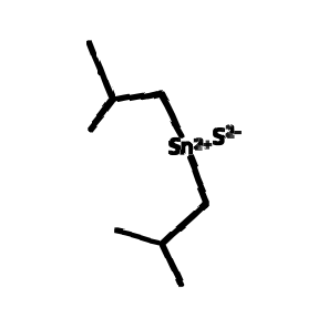 CC(C)[CH2][Sn+2][CH2]C(C)C.[S-2]